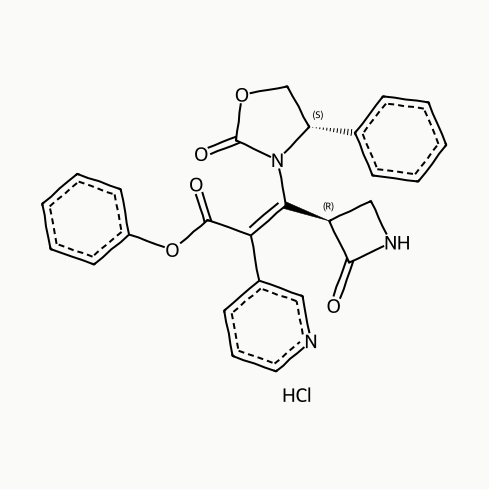 Cl.O=C(Oc1ccccc1)C(=C([C@H]1CNC1=O)N1C(=O)OC[C@@H]1c1ccccc1)c1cccnc1